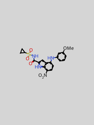 COc1cccc(Nc2ccc([N+](=O)[O-])c3[nH]c(C(=O)NS(=O)(=O)C4CC4)cc23)c1